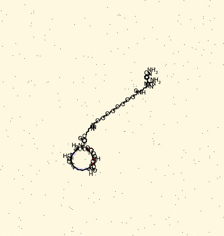 COC(=O)NC1C[C@@H]2CC[C@@H](C)[C@@](O)(O2)C(=O)C(=O)N2CCCC[C@H]2C(=O)O[C@H]([C@H](N)C[C@@H]2CC[C@@H](OCCCCc3cn(CCOCCOCCOCCOCCOCCOCCOCCOCCC(=O)NCCCCn4nc(-c5ccc6oc(N)nc6c5)c5c(N)ncnc54)nn3)[C@H](OC)C2)CC(=O)[C@H](C)/C=C(\C)[C@@H](O)[C@@H](OC)C(=O)[C@H](C)C[C@H](C)/C=C/C=C/C=C/1C